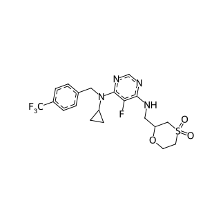 O=S1(=O)CCOC(CNc2ncnc(N(Cc3ccc(C(F)(F)F)cc3)C3CC3)c2F)C1